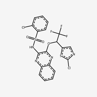 O=S(=O)(Nc1nc2ccccc2nc1OC(c1cnc(Cl)s1)C(F)(F)F)c1ccccc1Cl